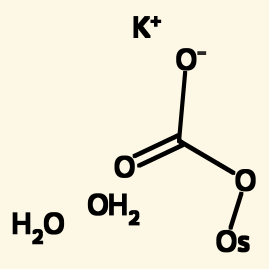 O.O.O=C([O-])[O][Os].[K+]